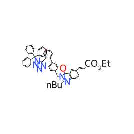 CCCCc1nc2ccc(/C=C/C(=O)OCC)cc2c(=O)n1Cc1ccc(-c2ccccc2-c2nnnn2C(c2ccccc2)(c2ccccc2)c2ccccc2)cc1